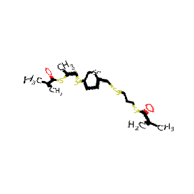 C=C(C)C(=O)SCCCSCC1CCC(SCC(C)SC(=O)C(=C)C)C[Se]1